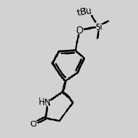 CC(C)(C)[Si](C)(C)Oc1ccc(C2CCC(=O)N2)cc1